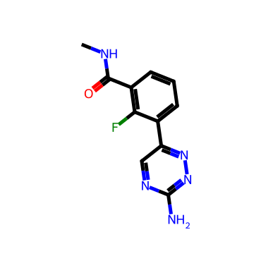 CNC(=O)c1cccc(-c2cnc(N)nn2)c1F